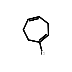 ClC1=CCC=CCC1